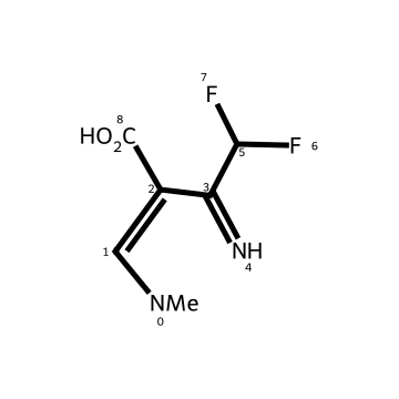 CN/C=C(\C(=N)C(F)F)C(=O)O